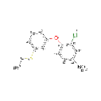 CC(C)CSc1cccc(Oc2ccc([N+](=O)[O-])cc2Cl)c1